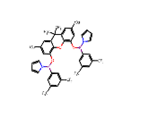 CC(C)(C)c1cc(OP(c2cc(C(F)(F)F)cc(C(F)(F)F)c2)n2cccc2)c2c(c1)C(C)(C)c1cc(C(C)(C)C)cc(OP(c3cc(C(F)(F)F)cc(C(F)(F)F)c3)n3cccc3)c1O2